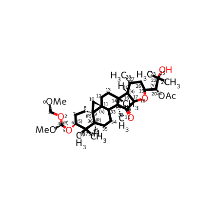 COCO[C@H](OC)O[C@H]1CC[C@]23C[C@]24CC[C@]2(C)[C@@H]5C(OC([C@H](OC(C)=O)C(C)(C)O)C[C@H]5C)C(=O)[C@@]2(C)C4CC[C@H]3C1(C)C